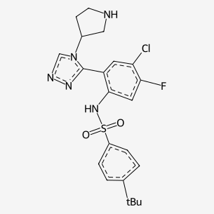 CC(C)(C)c1ccc(S(=O)(=O)Nc2cc(F)c(Cl)cc2-c2nncn2C2CCNC2)cc1